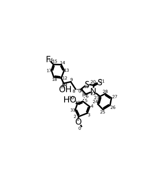 COc1ccc([C@@H]2[C@H](CC[C@H](O)c3ccc(F)cc3)SC(=S)N2c2ccccc2)c(O)c1